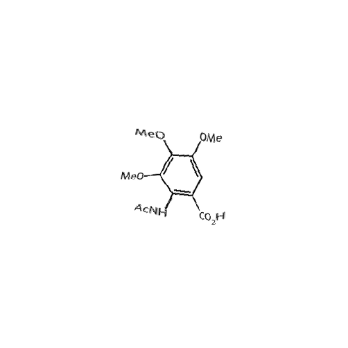 COc1cc(C(=O)O)c(NC(C)=O)c(OC)c1OC